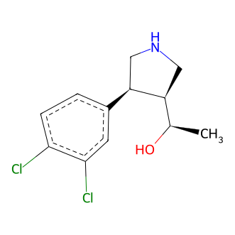 C[C@@H](O)[C@@H]1CNC[C@@H]1c1ccc(Cl)c(Cl)c1